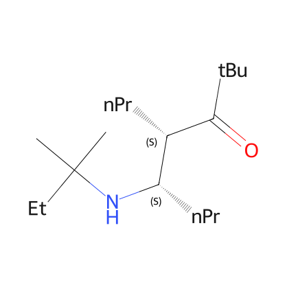 CCC[C@H](NC(C)(C)CC)[C@H](CCC)C(=O)C(C)(C)C